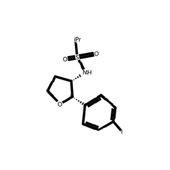 CC(C)S(=O)(=O)N[C@H]1CCO[C@H]1c1ccc(I)cc1